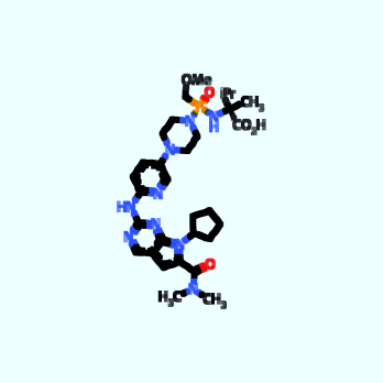 COCP(=O)(N[C@](C)(C(=O)O)C(C)C)N1CCN(c2ccc(Nc3ncc4cc(C(=O)N(C)C)n(C5CCCC5)c4n3)nc2)CC1